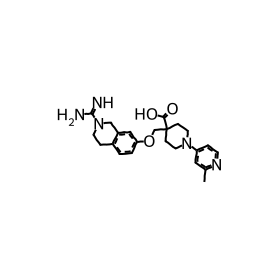 Cc1cc(N2CCC(COc3ccc4c(c3)CN(C(=N)N)CC4)(C(=O)O)CC2)ccn1